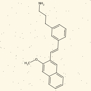 COc1cc2ccccc2cc1C=Cc1cccc(CCCN)c1